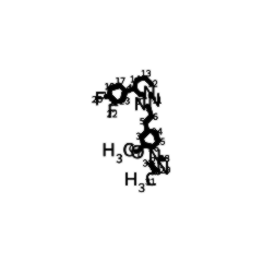 COc1cc(C=Cc2nc3n(n2)CCCC3c2ccc(F)c(F)c2)ccc1-n1cnc(C)c1